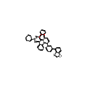 c1ccc(-c2cc(-c3ccccc3-c3c(-c4cccc(-c5cccc6ocnc56)c4)ccc4ccccc34)nc(-c3ccccc3)n2)cc1